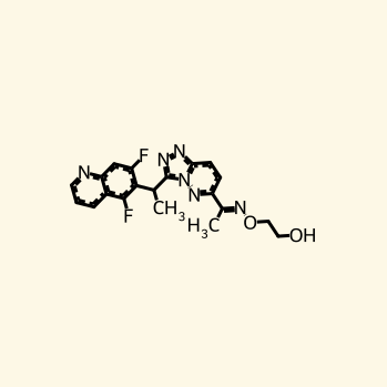 CC(=NOCCO)c1ccc2nnc(C(C)c3c(F)cc4ncccc4c3F)n2n1